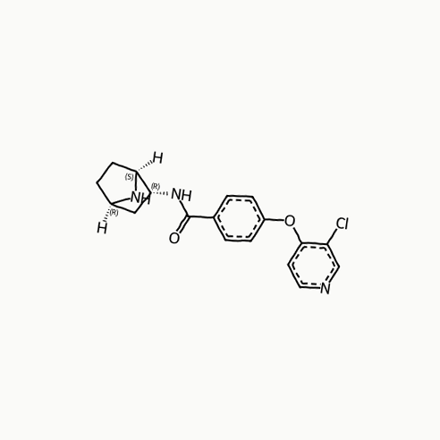 O=C(N[C@@H]1C[C@H]2CC[C@@H]1N2)c1ccc(Oc2ccncc2Cl)cc1